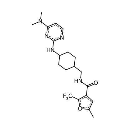 Cc1cc(C(=O)NCC2CCC(Nc3nccc(N(C)C)n3)CC2)c(C(F)(F)F)o1